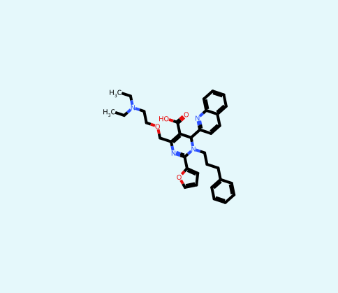 CCN(CC)CCOCC1=C(C(=O)O)C(c2ccc3ccccc3n2)N(CCCc2ccccc2)C(c2ccco2)=N1